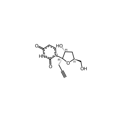 C#CC[C@@]1(n2ccc(=O)[nH]c2=O)O[C@H](CO)C[C@H]1O